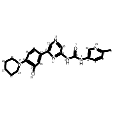 Cc1ccc(NC(=O)Nc2cncc(-c3ccc(N4CCCCC4)c(Cl)c3)n2)cn1